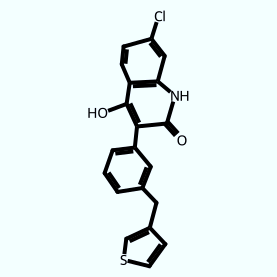 O=c1[nH]c2cc(Cl)ccc2c(O)c1-c1cccc(Cc2ccsc2)c1